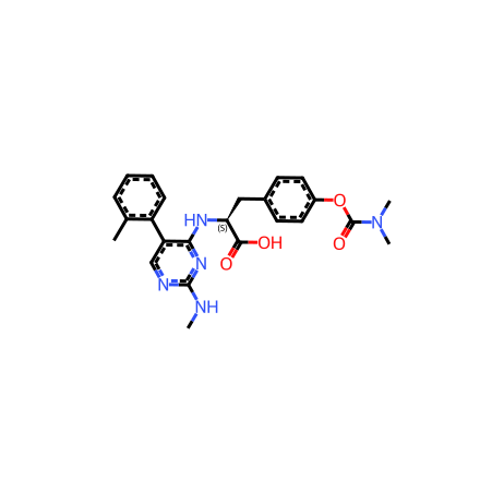 CNc1ncc(-c2ccccc2C)c(N[C@@H](Cc2ccc(OC(=O)N(C)C)cc2)C(=O)O)n1